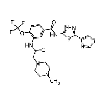 CN1CCN(CC(=O)Nc2cc(C(=O)Nc3nnc(-c4cscn4)s3)ccc2OC(F)(F)F)CC1